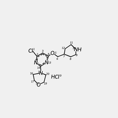 Cl.Clc1cc(OCC2CCNCC2)nc(N2CCOCC2)n1